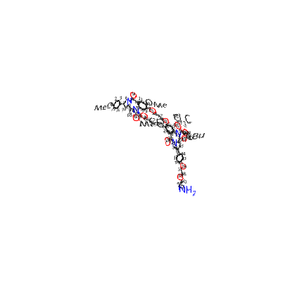 COc1ccc(C2=CN3C(=O)c4cc(OC)c(OCCCOc5cc6c(cc5OC)C(=O)N5C=C(c7ccc(OCCOCCN)cc7)CC5C(O[Si](C)(C)C(C)(C)C)N6C(=O)OCC(Cl)(Cl)Cl)cc4N(C(=O)OCC(Cl)(Cl)Cl)C(C)C3C2)cc1